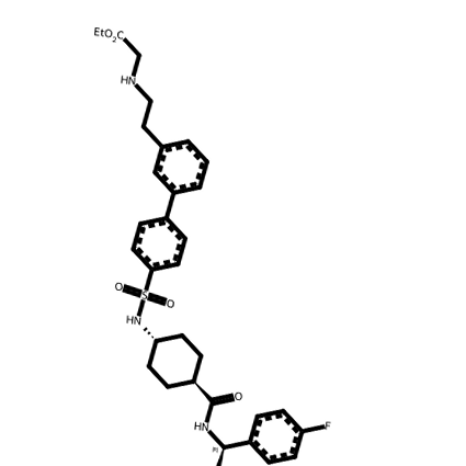 CCOC(=O)CNCCc1cccc(-c2ccc(S(=O)(=O)N[C@H]3CC[C@H](C(=O)N[C@H](C)c4ccc(F)cc4)CC3)cc2)c1